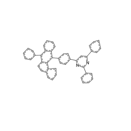 c1ccc(-c2cc(-c3ccc(-c4c5ccccc5c(-c5ccccc5)c5ccc6ccccc6c45)cc3)nc(-c3ccccc3)n2)cc1